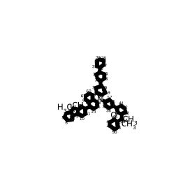 CC1(C)c2ccccc2-c2ccc(-c3ccc(N(c4ccc(-c5ccc(-c6ccccc6)cc5)cc4)c4ccc(-c5cccc6c5Oc5ccccc5C6(C)C)cc4)c4ccccc34)cc21